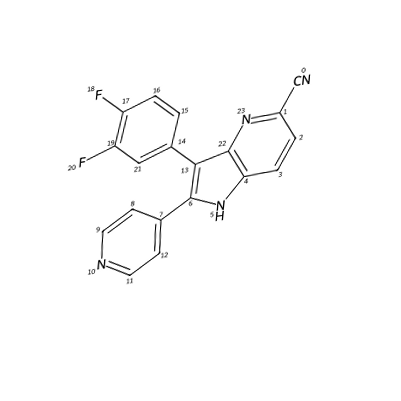 N#Cc1ccc2[nH]c(-c3ccncc3)c(-c3ccc(F)c(F)c3)c2n1